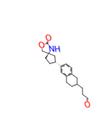 O=CCCC1CCc2cc([C@@H]3CC[C@]4(COC(=O)N4)C3)ccc2C1